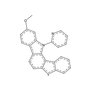 COc1ccc2c3ccc4sc5ccccc5c4c3n(-c3ccccn3)c2c1